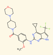 COc1cc(C(=O)N2CCC(N3CCOCC3)CC2)ccc1Nc1nc(C2CC2)c2c(C(F)(F)F)c[nH]c2n1